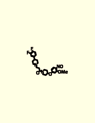 COc1cc(OC2CCN(C(=O)CCN3CCC(c4ccc(F)c(F)c4)CC3)CC2)ccc1N=O